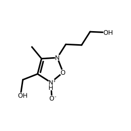 CC1=C(CO)[NH+]([O-])ON1CCCO